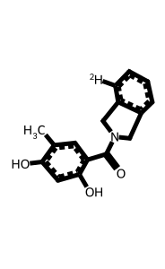 [2H]c1cccc2c1CN(C(=O)c1cc(C)c(O)cc1O)C2